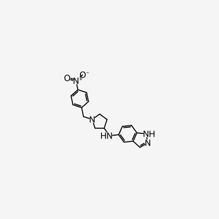 O=[N+]([O-])c1ccc(CN2CCC(Nc3ccc4[nH]ncc4c3)C2)cc1